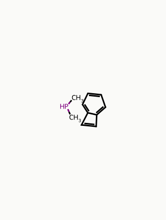 C1=Cc2ccccc21.CPC